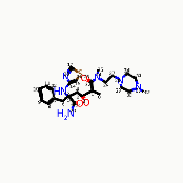 CC(C(=O)CC(Cc1ccccc1)(Nc1cscn1)C(N)=O)C(=O)N(C)CCN1CCN(C)CC1